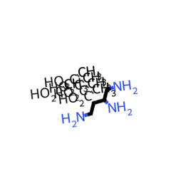 CC(=O)O.CC(=O)O.CC(=O)O.CC(=O)O.CC(=O)O.NCCC(N)CN